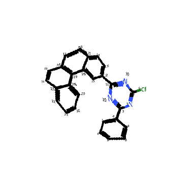 Clc1nc(-c2ccccc2)nc(-c2ccc3ccc4ccc5ccccc5c4c3c2)n1